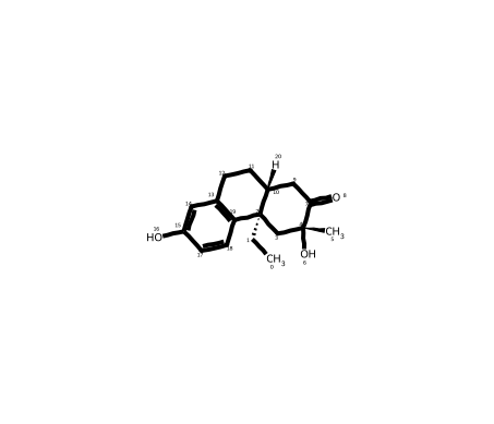 CC[C@@]12C[C@@](C)(O)C(=O)C[C@H]1CCc1cc(O)ccc12